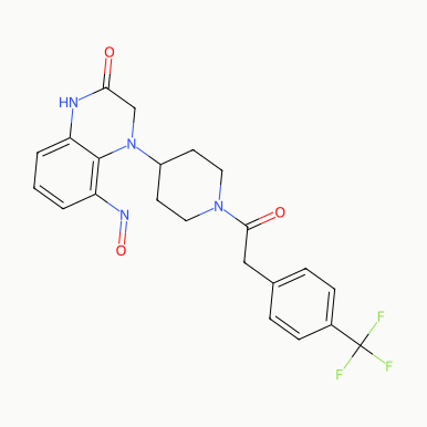 O=Nc1cccc2c1N(C1CCN(C(=O)Cc3ccc(C(F)(F)F)cc3)CC1)CC(=O)N2